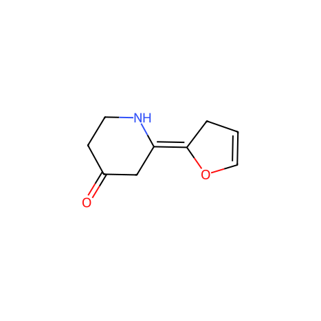 O=C1CCNC(=C2CC=CO2)C1